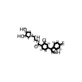 O=C(NCCN1C[C@H](O)[C@@H](O)C1)c1ccc(-c2c[nH]c3cc(F)ccc23)cc1Cl